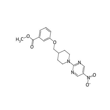 COC(=O)c1cccc(OCC2CCN(c3ncc([N+](=O)[O-])cn3)CC2)c1